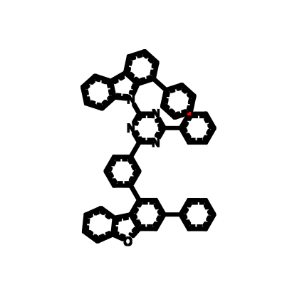 c1ccc(-c2cc(-c3cccc(-c4nc(-c5ccccc5)nc(-n5c6ccccc6c6cccc(-c7ccccc7)c65)n4)c3)c3c(c2)oc2ccccc23)cc1